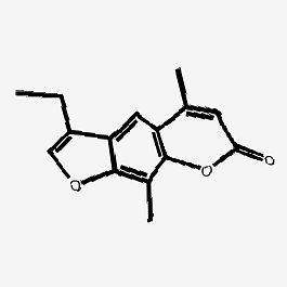 CCc1coc2c(C)c3oc(=O)cc(C)c3cc12